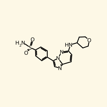 NS(=O)(=O)c1ccc(-c2cnc3ccc(NC4CCOCC4)nn23)cc1